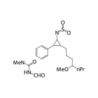 CCCC(CCCC1C(N=S(=O)=O)C1c1ccccc1)OC.CNC(=O)NC=O